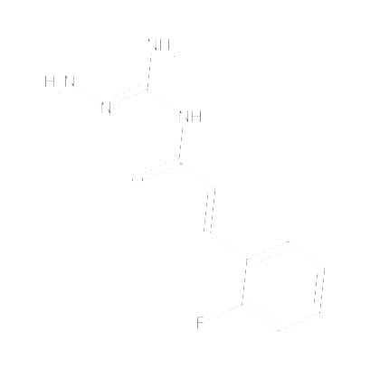 NN=C(N)NC(=O)/C=C/c1ccccc1F